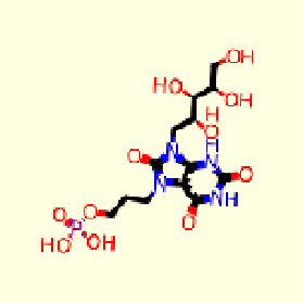 O=c1[nH]c(=O)c2c([nH]1)n(C[C@H](O)[C@@H](O)[C@H](O)CO)c(=O)n2CCCOP(=O)(O)O